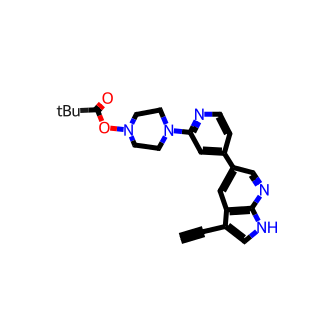 C#Cc1c[nH]c2ncc(-c3ccnc(N4CCN(OC(=O)C(C)(C)C)CC4)c3)cc12